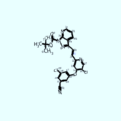 CC(C)(C)OC(=O)n1nc(/C=C/c2cc(Oc3cc(Cl)cc(C#N)c3)c(Cl)cn2)c2cccnc21